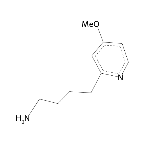 COc1ccnc(CCCCN)c1